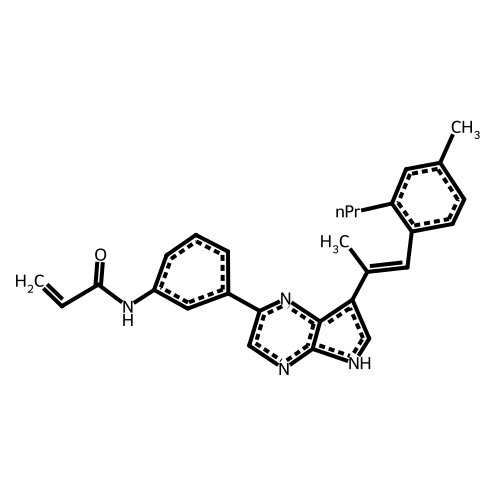 C=CC(=O)Nc1cccc(-c2cnc3[nH]cc(/C(C)=C/c4ccc(C)cc4CCC)c3n2)c1